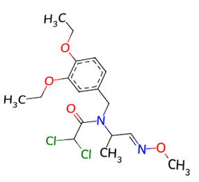 CCOc1ccc(CN(C(=O)C(Cl)Cl)C(C)/C=N/OC)cc1OCC